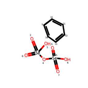 O=[Se](=O)(O)O[Se](=O)(=O)O.c1ccccc1